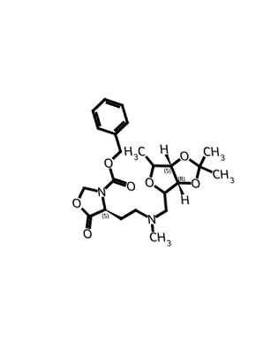 CC1OC(CN(C)CC[C@H]2C(=O)OCN2C(=O)OCc2ccccc2)[C@H]2OC(C)(C)O[C@@H]12